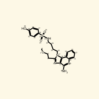 COCCc1nc2c(N)nc3ccccc3c2n1CCCCNS(=O)(=O)c1ccc(O)cc1